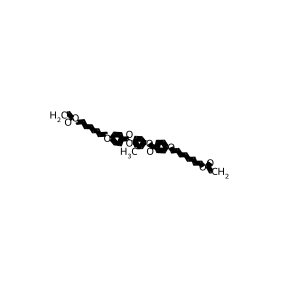 C=CC(=O)OCCCCCCCCOc1ccc(C(=O)Oc2ccc(OC(=O)c3ccc(OCCCCCCCCOC(=O)C=C)cc3)c(C)c2)cc1